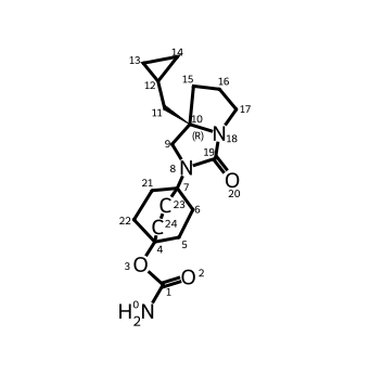 NC(=O)OC12CCC(N3C[C@]4(CC5CC5)CCCN4C3=O)(CC1)CC2